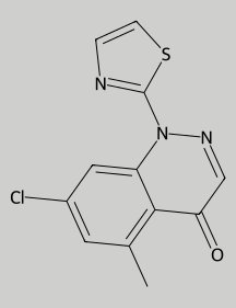 Cc1cc(Cl)cc2c1c(=O)cnn2-c1nccs1